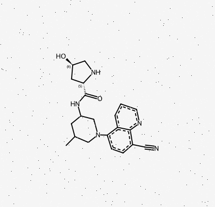 CC1CC(NC(=O)[C@@H]2C[C@@H](O)CN2)CN(c2ccc(C#N)c3ncccc23)C1